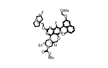 CC[C@@H]1CN2c3nc(OC[C@@]45CCCN4C[C@H](F)C5)nc4c(F)c(-c5cc(OCOC)cc6cccc(Cl)c56)nc(c34)OC[C@@H]2CN1C(=O)OC(C)(C)C